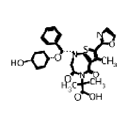 Cc1c(-c2ncco2)sc2c1C(=O)N(C(C)(C)C(=O)O)C(=O)CN2C[C@H](O[C@H]1CC[C@H](O)CC1)c1ccccc1